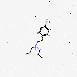 CCCN(CCC)CCc1ccc(N)cc1